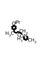 Cc1ccc(OCC(C)(C)CCC(C)c2ccc(OC(C)C)cc2)nc1